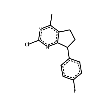 Cc1nc(Cl)nc2c1CCC2c1ccc(F)cc1